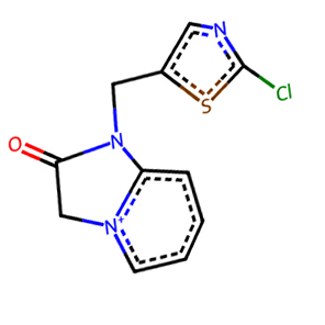 O=C1C[n+]2ccccc2N1Cc1cnc(Cl)s1